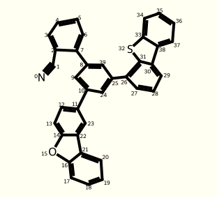 N#Cc1ccccc1-c1cc(-c2ccc3oc4ccccc4c3c2)cc(-c2cccc3c2sc2ccccc23)c1